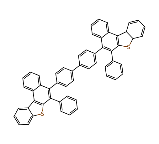 C1=CC2Sc3c(-c4ccccc4)c(-c4ccc(-c5ccc(-c6c(-c7ccccc7)c7sc8ccccc8c7c7ccccc67)cc5)cc4)c4ccccc4c3C2C=C1